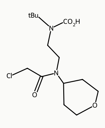 CC(C)(C)N(CCN(C(=O)CCl)C1CCOCC1)C(=O)O